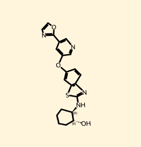 O[C@@H]1CCCC[C@H]1Nc1nc2ccc(Oc3cncc(-c4ncco4)c3)cc2s1